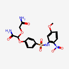 COc1ccc([N+](=O)[O-])c(NS(=O)(=O)c2ccc(OC(OCC(N)=O)C(N)=O)cc2)c1